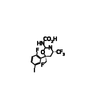 O=C(O)NC1=N[C@H](C(F)(F)F)C[C@@](CF)(c2cc(I)ccc2F)O1